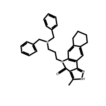 Cc1[nH]nc2c1c(=O)n(CCCN(Cc1ccccc1)Cc1ccccc1)c1cc3c(cc21)CCCC3